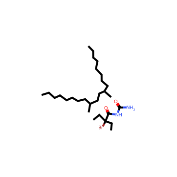 CCC(Br)(CC)C(=O)NC(N)=O.CCCCCCCCC(C)CCC(C)CCCCCCCC